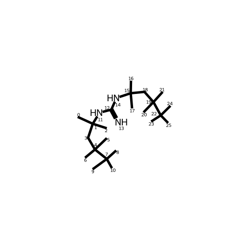 CC(C)(CC(C)(C)C(C)(C)C)NC(=N)NC(C)(C)CC(C)(C)C(C)(C)C